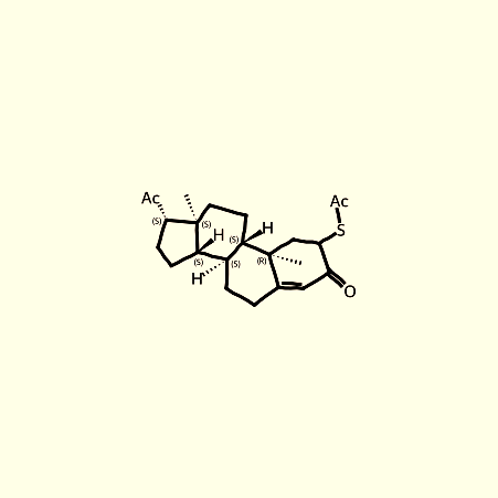 CC(=O)SC1C[C@@]2(C)C(=CC1=O)CC[C@H]1[C@@H]3CC[C@H](C(C)=O)[C@@]3(C)CC[C@@H]12